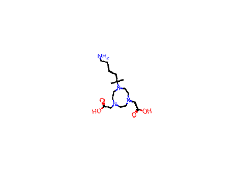 CC(C)(CCCCN)N1CCN(CC(=O)O)CCN(CC(=O)O)CC1